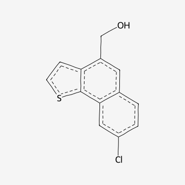 OCc1cc2ccc(Cl)cc2c2sccc12